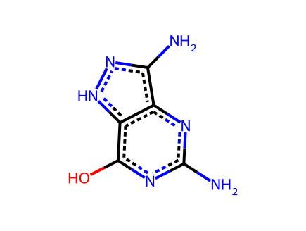 Nc1nc(O)c2[nH]nc(N)c2n1